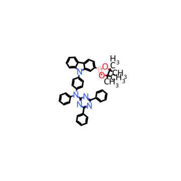 CC1(C)OB(c2ccc3c4ccccc4n(-c4ccc(N(c5ccccc5)c5nc(-c6ccccc6)nc(-c6ccccc6)n5)cc4)c3c2)OC1(C)C